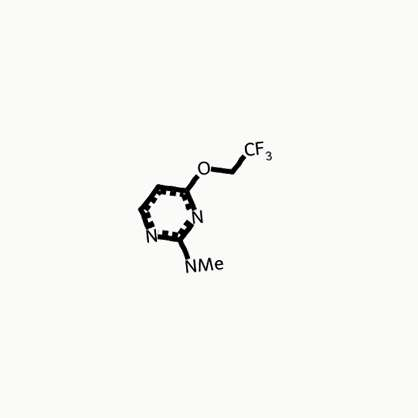 CNc1nccc(OCC(F)(F)F)n1